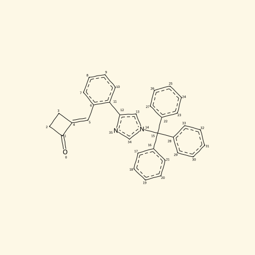 O=C1CC/C1=C\c1ccccc1-c1cn(C(c2ccccc2)(c2ccccc2)c2ccccc2)cn1